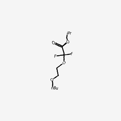 CCCCOCCOC(F)(F)C(=O)OC(C)C